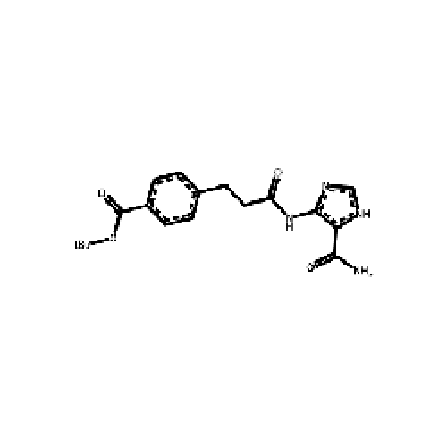 CC(C)(C)OC(=O)c1ccc(CCC(=O)Nc2nc[nH]c2C(N)=O)cc1